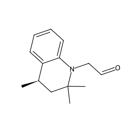 C[C@@H]1CC(C)(C)N(CC=O)c2ccccc21